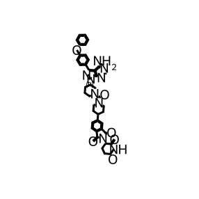 Nc1ncnc2c1c(-c1ccc(Oc3ccccc3)cc1)nn2[C@@H]1CCCN(C(=O)N2CCC(c3ccc4c(c3)C(=O)N(C3CCC(=O)NC3=O)C4=O)CC2)C1